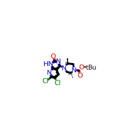 C[C@@H]1CN(c2nc(=O)[nH]c3nc(Cl)c(Cl)cc23)[C@@H](C)CN1C(=O)OC(C)(C)C